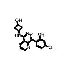 Oc1cc(C(F)(F)F)ccc1-c1nnc(NC2CC(O)C2)c2cccnc12